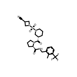 Cc1c(CNC(=O)[C@H]2CCCN2C(=O)[C@H]2CCCN(S(=O)(=O)N3CC(C#N)C3)C2)cccc1C(F)(F)F